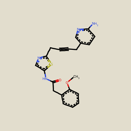 COc1ccccc1CC(=O)Nc1cnc(CC#CCc2ccc(N)nc2)s1